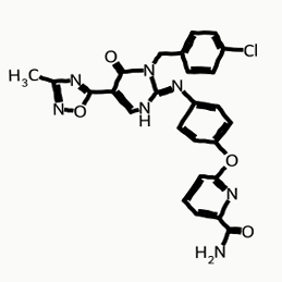 Cc1noc(-c2c[nH]/c(=N\c3ccc(Oc4cccc(C(N)=O)n4)cc3)n(Cc3ccc(Cl)cc3)c2=O)n1